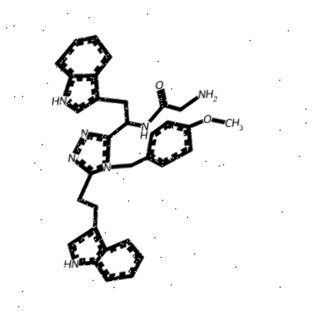 COc1ccc(Cn2c(CCc3c[nH]c4ccccc34)nnc2C(Cc2c[nH]c3ccccc23)NC(=O)CN)cc1